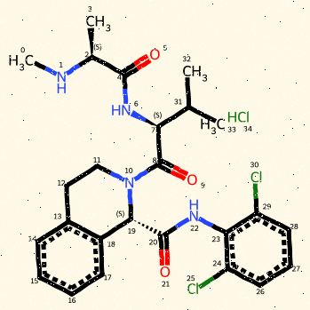 CN[C@@H](C)C(=O)N[C@H](C(=O)N1CCc2ccccc2[C@H]1C(=O)Nc1c(Cl)cccc1Cl)C(C)C.Cl